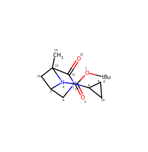 CC(C)(C)OC(=O)N1C2CN(C3CC3)C(=O)C1(C)C2